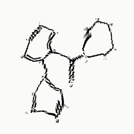 O=C(c1ccccc1-c1[c]nccc1)N1CCCCC1